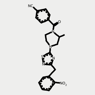 CC1CN(c2nc(Cc3ccccc3[N+](=O)[O-])ns2)CCN1C(=O)c1ccc(C#N)cc1